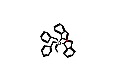 C[CH]=[Zr]([CH2]c1ccccc1)([CH2]c1ccccc1)([CH]1C=Cc2ccccc21)[CH]1C=Cc2ccccc21